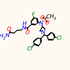 CS(=O)(=O)N(c1cc(F)cc(C(=O)NCCCC(N)=O)c1)C1CN(C(c2ccc(Cl)cc2)c2ccc(Cl)cc2)C1